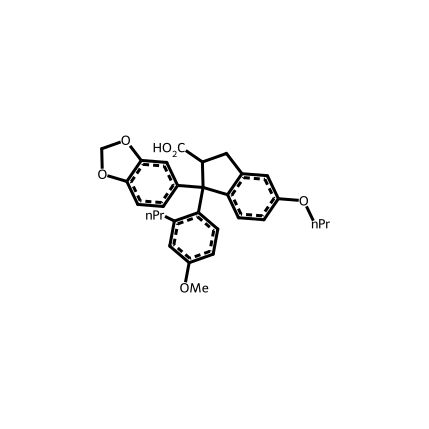 CCCOc1ccc2c(c1)CC(C(=O)O)C2(c1ccc2c(c1)OCO2)c1ccc(OC)cc1CCC